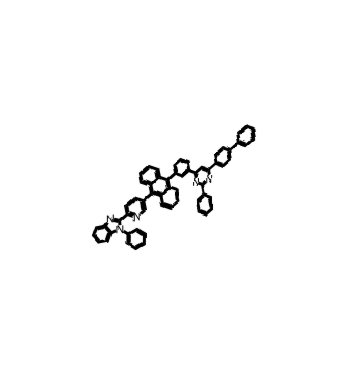 c1ccc(-c2ccc(-c3cc(-c4cccc(-c5c6ccccc6c(-c6ccc(-c7nc8ccccc8n7-c7ccccc7)nc6)c6ccccc56)c4)nc(-c4ccccc4)n3)cc2)cc1